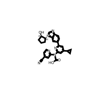 N#Cc1ccnc(N(C(=O)O)c2cc(C3CC3)cc(-c3ccc4ncn([C@@H]5CCC[C@H]5O)c4c3)n2)c1